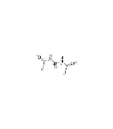 O=C(I)NBNC(=O)I